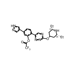 CC[C@@H]1CC(Oc2ncc(-c3ccc(-c4cn[nH]c4)cc3OC(=O)C(F)(F)F)nn2)C[C@H](CC)N1